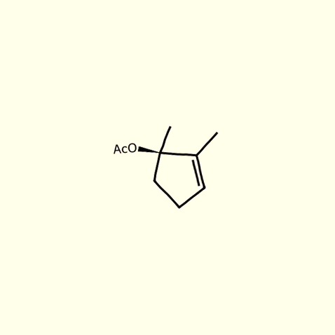 CC(=O)O[C@]1(C)CCC=C1C